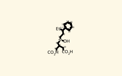 CCC(CCP(O)CC(CC(=O)O)CC(=O)O)c1ccccc1